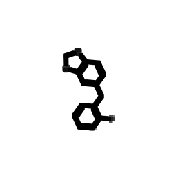 Fc1[c]cccc1Cc1ccc2c(c1)OCO2